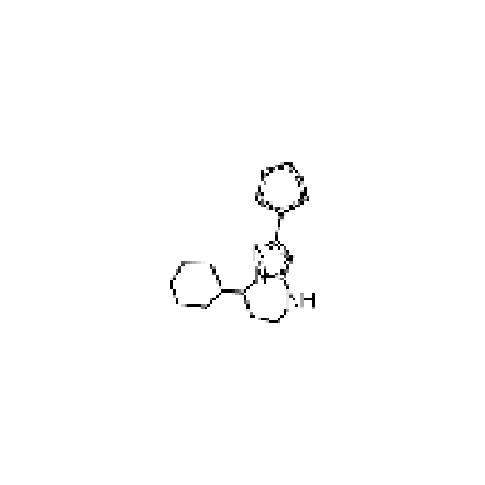 c1ccc(-c2cc3n(n2)C(C2CCCCC2)CCN3)cc1